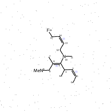 C/C=C\C(C)/C(=C(/C)CNC)N(C)C/C=C\CF